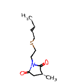 CC=CCSCCN1C(=O)C[C@@H](C)C1=O